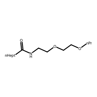 CCCCCCCC(=O)NCCOCCOCCC